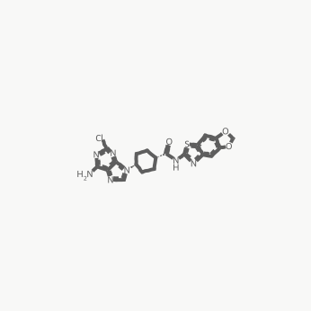 Nc1nc(Cl)nc2c1ncn2[C@H]1CC[C@@H](C(=O)Nc2nc3cc4c(cc3s2)OCO4)CC1